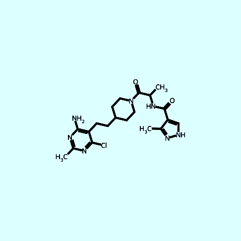 Cc1nc(N)c(CCC2CCN(C(=O)C(C)NC(=O)c3c[nH]nc3C)CC2)c(Cl)n1